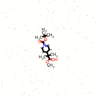 COC(O)C(C)(C)C1CCN(C(=O)OC(C)(C)C)CC1